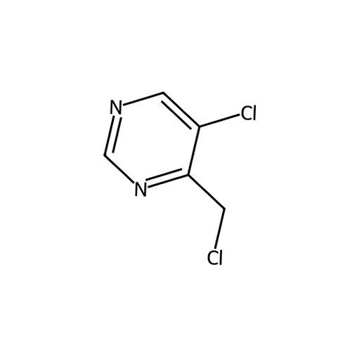 ClCc1ncncc1Cl